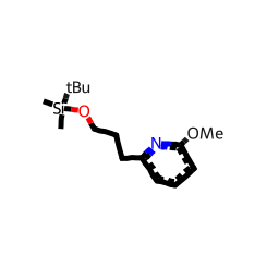 COc1cccc(CCCO[Si](C)(C)C(C)(C)C)n1